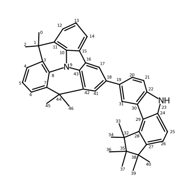 CC1(C)c2cccc3c2-n2c4c1cccc4c1cc(-c4ccc5[nH]c6ccc7c(c6c5c4)C(C)(C)C(C)(C)C7(C)C)cc(c12)C3(C)C